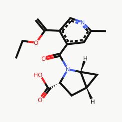 C=C(OCC)c1cnc(C)cc1C(=O)N1[C@@H](C(=O)O)C[C@H]2C[C@H]21